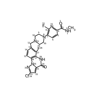 CNC(=O)c1ccc(N2CCN(Cc3ccc4c([nH]c(=O)c5cc(Cl)nn54)c3F)CC2)c(F)n1